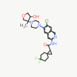 CC1(N2CCN(c3cc4cc(NC(=O)C5CC56CCC(F)(F)CC6)ncc4cc3Cl)CC2)COCC1O